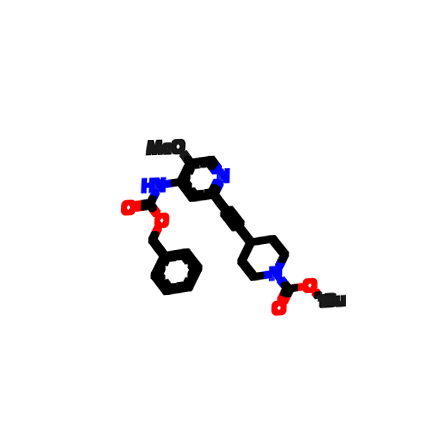 COc1cnc(C#CC2CCN(C(=O)OC(C)(C)C)CC2)cc1NC(=O)OCc1ccccc1